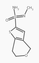 CN=S(N)(=O)c1cc2c(s1)CCOC2